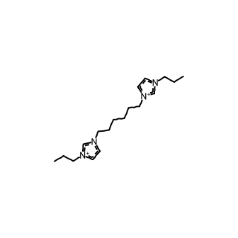 CCCn1cc[n+](CCCCCCn2cc[n+](CCC)c2)c1